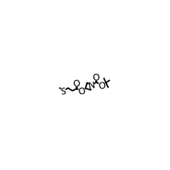 CSCCC(=O)OC1CN(C(=O)OC(C)(C)C)C1